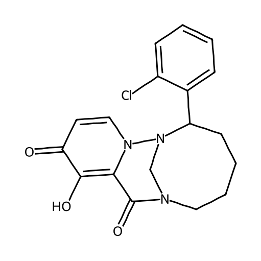 O=C1c2c(O)c(=O)ccn2N2CN1CCCCC2c1ccccc1Cl